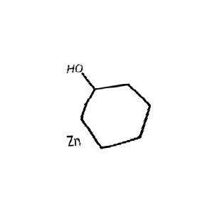 OC1CCCCC1.[Zn]